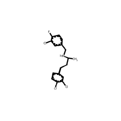 CC(CCc1ccc(Cl)c(Cl)c1)NCc1ccc(F)c(Cl)c1